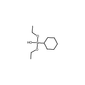 CCO[Si](O)(OCC)C1CCCCC1